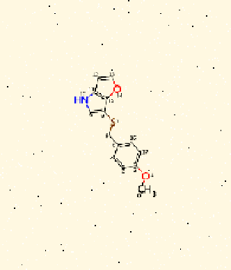 COc1ccc(CSc2c[nH]c3ccoc23)cc1